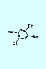 C#Cc1cc(CC)c(C#C)cc1CC